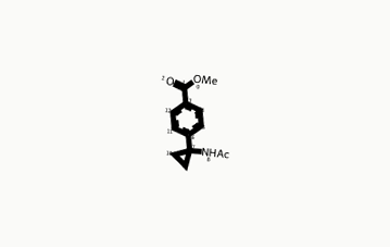 COC(=O)c1ccc(C2(NC(C)=O)CC2)cc1